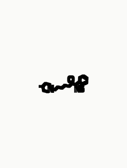 O=C(CCCCCN1CC[CH]CC1)c1nsc2ccccc12